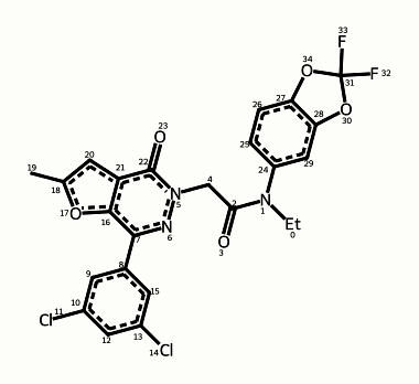 CCN(C(=O)Cn1nc(-c2cc(Cl)cc(Cl)c2)c2oc(C)cc2c1=O)c1ccc2c(c1)OC(F)(F)O2